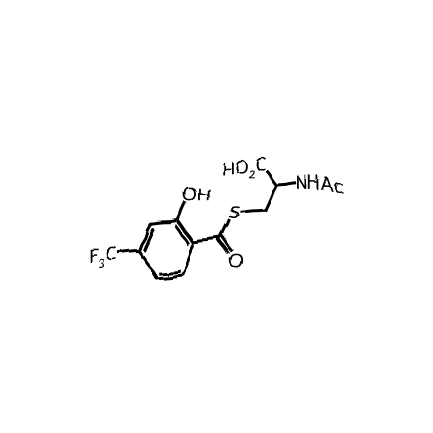 CC(=O)NC(CSC(=O)c1ccc(C(F)(F)F)cc1O)C(=O)O